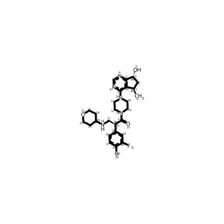 C[C@@H]1C[C@@H](O)c2ncnc(N3CCN(C(=O)[C@H](CNC4CCOCC4)c4ccc(Br)c(F)c4)CC3)c21